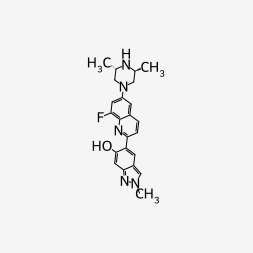 C[C@H]1CN(c2cc(F)c3nc(-c4cc5cn(C)nc5cc4O)ccc3c2)C[C@H](C)N1